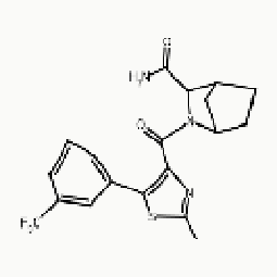 Cc1nc(C(=O)N2C3CCC(C3)C2C(N)=O)c(-c2cccc(C(F)(F)F)c2)s1